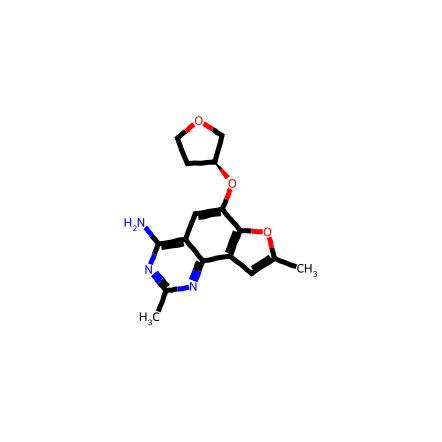 Cc1nc(N)c2cc(O[C@H]3CCOC3)c3oc(C)cc3c2n1